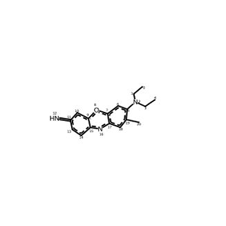 CCN(CC)c1cc2oc3cc(=N)ccc-3nc2cc1C